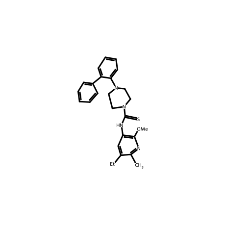 CCc1cc(NC(=S)N2CCN(c3ccccc3-c3ccccc3)CC2)c(OC)nc1C